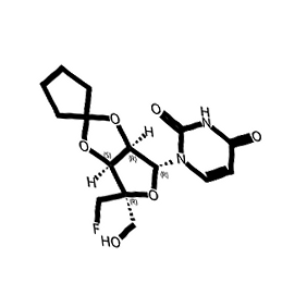 O=c1ccn([C@@H]2O[C@@](CO)(CF)[C@H]3OC4(CCCC4)O[C@@H]23)c(=O)[nH]1